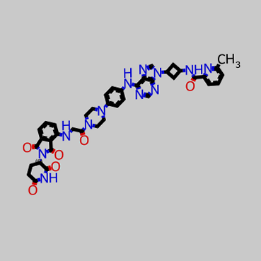 Cc1cccc(C(=O)NC2CC(n3cnc4c(Nc5ccc(N6CCN(C(=O)CNc7cccc8c7C(=O)N([C@H]7CCC(=O)NC7=O)C8=O)CC6)cc5)ncnc43)C2)n1